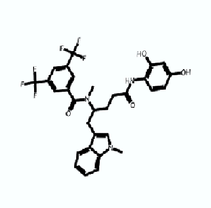 CN(C(=O)c1cc(C(F)(F)F)cc(C(F)(F)F)c1)C(CCC(=O)Nc1ccc(O)cc1O)Cc1cn(C)c2ccccc12